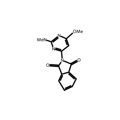 CNc1nc(OC)cc(N2C(=O)c3ccccc3C2=O)n1